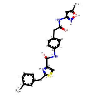 CC(C)(C)c1cc(NC(=O)Cc2ccc(NC(=O)c3csc(Cc4cccc(C(F)(F)F)c4)n3)cc2)no1